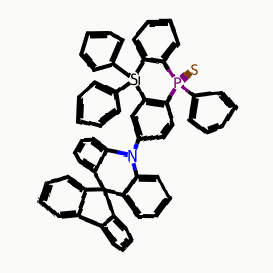 S=P1(c2ccccc2)c2ccccc2[Si](c2ccccc2)(c2ccccc2)c2cc(N3c4ccccc4C4(c5ccccc5-c5ccccc54)c4ccccc43)ccc21